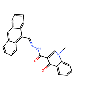 Cn1cc(C(=O)NN=Cc2c3ccccc3cc3ccccc23)c(=O)c2ccccc21